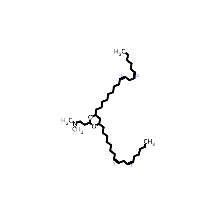 CCCCC/C=C\C/C=C\CCCCCCCCC1CC(CCCCCCC/C=C\C/C=C\CCCCC)OC(CCN(C)C)O1